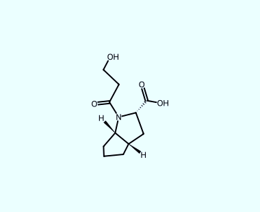 O=C(O)[C@@H]1C[C@@H]2CCC[C@@H]2N1C(=O)CCO